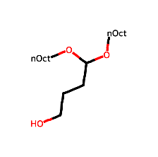 CCCCCCCCOC(CCCO)OCCCCCCCC